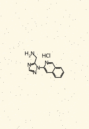 Cl.NCc1ncnn1-c1cc2ccccc2cn1